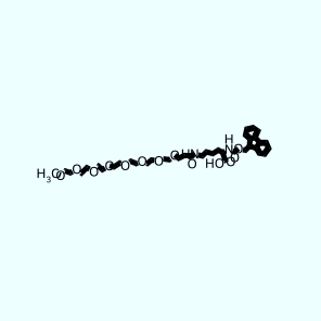 COCCOCCOCCOCCOCCOCCOCCOCCC(=O)NCCCCC(NC(=O)OCC1c2ccccc2-c2ccccc21)C(=O)O